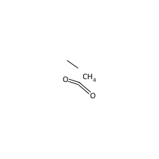 C.CC.O=C=O